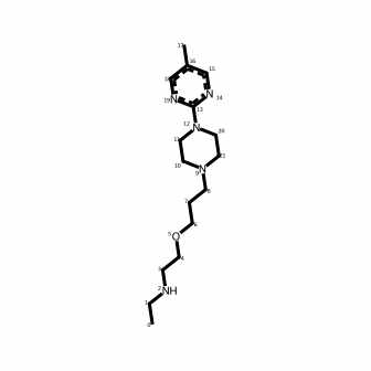 CCNCCOCCCN1CCN(c2ncc(C)cn2)CC1